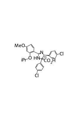 COc1ccc(C2=N[C@@H](c3ccc(Cl)cc3)[C@@](C(=O)O)(c3ccc(Cl)cc3)N2)c(OC(C)C)c1